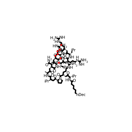 CCCCCCCCCCCCCCCC(=O)N[C@H](C(=O)C[C@@H](CCCNC(=N)N)C(=O)N1CCC[C@H]1C(=O)C[C@H](C(=O)N[C@@H](C)C(=O)C[C@@H](CC(N)=O)C(=O)N[C@@H](C)C(=O)C[C@@H](CCCNC(=N)N)C(=O)N[C@@H](CC(C)C)C(=O)C[C@@H](CCCNC(=N)N)C(=O)N[C@@H](CC(C)C)C(=O)C[C@@H](CCCNC(=N)N)C(=O)N[C@H](C(N)=O)C(C)C)C(C)C)C(C)C